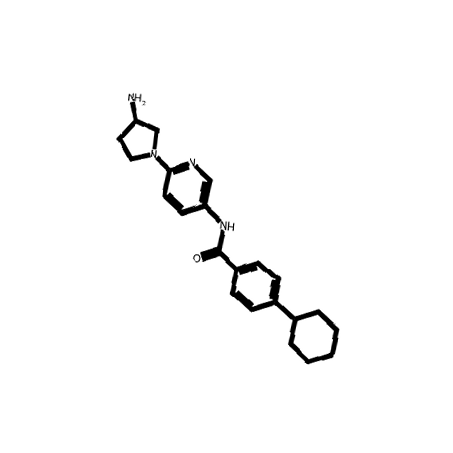 NC1CCN(c2ccc(NC(=O)c3ccc(C4CCCCC4)cc3)cn2)C1